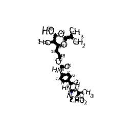 C=C(C)N/C(=N\C=O)NC(=O)c1ccc(NC(=O)OCCC(OC(=O)C(=C)C)C(O)CO)cc1